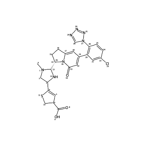 CN1CC(C2=CC(C(=O)O)CS2)NC1[C@@H]1CCc2cc(-c3cc(Cl)ccc3-n3cnnn3)cc(=O)n21